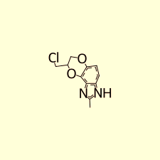 Cc1nc2c3c(ccc2[nH]1)OCC(CCl)O3